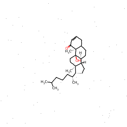 CC(C)CCC[C@@H](C)[C@H]1CC[C@H]2[C@@H]3CCC4CC=CC(=O)[C@]4(C)[C@@]3(O)CC[C@]12C